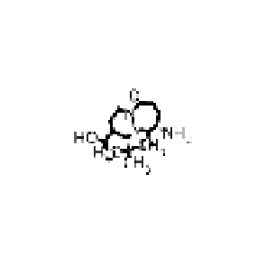 CC(C)(C)[C@@H]1C(C(=O)O)CCN2C(=O)CC[C@H](N)C(=O)N12